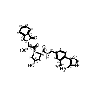 Cc1ncsc1-c1ccc(CNC(=O)[C@@H]2C[C@@H](O)CN2C(=O)[C@@H](N2Cc3ccccc3C2=O)C(C)(C)C)cc1CC(C)C